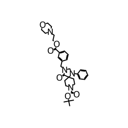 CC(C)(C)OC(=O)N1CCC2(CC1)C(=O)N(Cc1cccc(C(=O)OCCN3CCOCC3)c1)CN2c1ccccc1